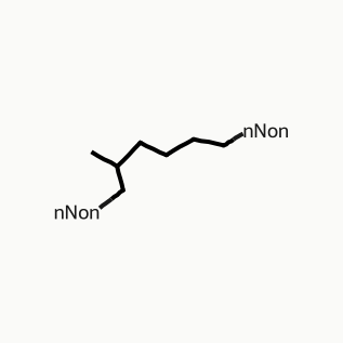 CCCCCCCCCCCCCC(C)CCCCCCCCCC